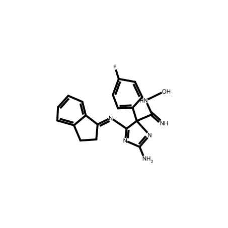 N=C(NO)C1(c2ccc(F)cc2)N=C(N)N=C1N=C1CCc2ccccc21